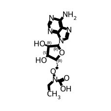 CCN(OC[C@H]1O[C@@H](n2cnc3c(N)ncnc32)[C@H](O)[C@@H]1O)C(=O)O